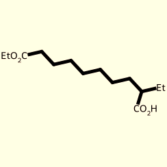 CCOC(=O)CCCCCCCC(CC)C(=O)O